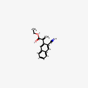 C=C(C(=O)OCC)c1cc2ccccc2cc1C#N